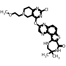 COCCN1CCc2nc(Cl)nc(Oc3cnc4c(ccc5sc6c(c54)NCC(C)(C)NC6=O)n3)c2C1